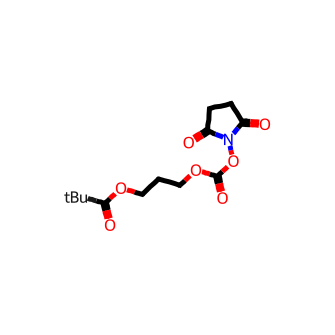 CC(C)(C)C(=O)OCCCOC(=O)ON1C(=O)CCC1=O